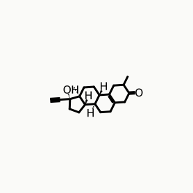 C#C[C@]1(O)CC[C@H]2[C@@H]3CCC4=C(CC(C)C(=O)C4)[C@H]3CC[C@@]21C